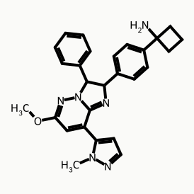 COC1=NN2C(=NC(c3ccc(C4(N)CCC4)cc3)C2c2ccccc2)C(c2ccnn2C)=C1